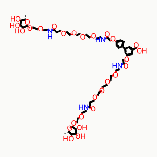 C[C@@H]1O[C@@H](OCCOCCNC(=O)CCOCCOCCOCCOCCNC(=O)COc2ccc(-c3cc(OCC(=O)NCCOCCOCCOCCOCCC(=O)NCCOCCO[C@@H]4O[C@@H](C)[C@H](O)[C@@H](O)[C@H]4O)cc(C(=O)O)c3)cc2)[C@H](O)[C@H](O)[C@H]1O